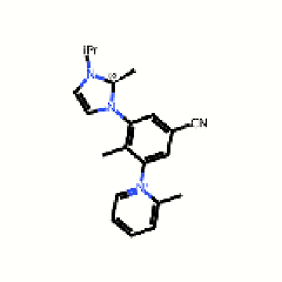 Cc1c(N2C=CN(C(C)C)[C@H]2C)cc(C#N)cc1-[n+]1ccccc1C